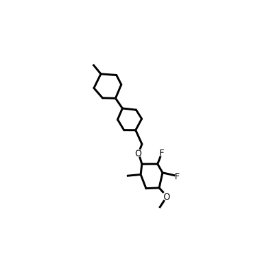 COC1CC(C)C(OCC2CCC(C3CCC(C)CC3)CC2)C(F)C1F